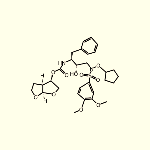 COc1ccc(S(=O)(=O)N(C[C@H](O)[C@H](Cc2ccccc2)NC(=O)O[C@H]2CO[C@H]3OCC[C@H]32)OC2CCCC2)cc1OC